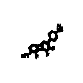 CCCc1ccc2c(c1F)-c1c-2cc(C2CCC([SiH2]C)CC2)c(F)c1F